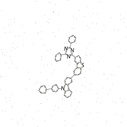 c1ccc(-c2ccc(-n3c4ccccc4c4cc(-c5ccc6sc7ccc(-c8nc(-c9ccccc9)nc(-c9ccccc9)n8)cc7c6c5)ccc43)cc2)cc1